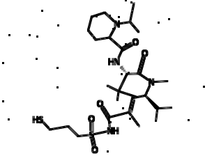 C/C(=C\[C@H](C(C)C)N(C)C(=O)[C@@H](NC(=O)C1CCCCN1C(C)C)C(C)(C)C)C(=O)NS(=O)(=O)CCCS